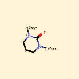 CCCCCN1CCCN(CCCCC)C1=O